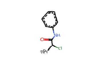 CCCC(Cl)C(=O)Nc1ccccc1